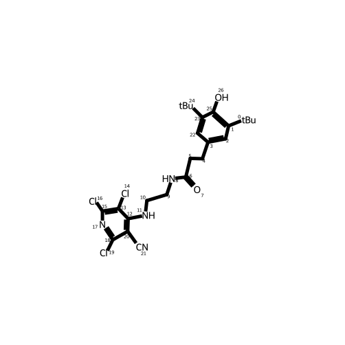 CC(C)(C)c1cc(CCC(=O)NCCNc2c(Cl)c(Cl)nc(Cl)c2C#N)cc(C(C)(C)C)c1O